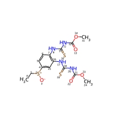 CC[S+]([O-])c1ccc(NC(=S)NC(=O)OC)c(NC(=S)NC(=O)OC)c1